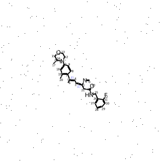 C=N/C(=C\C=C(/C)c1ccc(N2CCOC[C@@H]2C)cc1C)CC(=O)NCc1ccccc1F